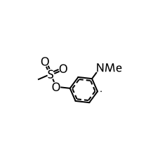 CNc1[c]ccc(OS(C)(=O)=O)c1